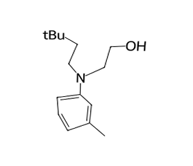 Cc1cccc(N(CCO)CCC(C)(C)C)c1